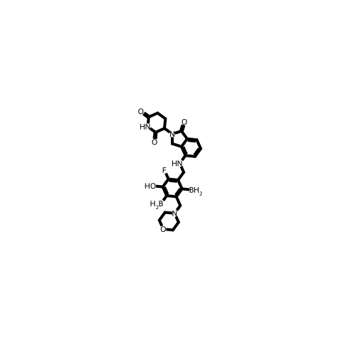 Bc1c(O)c(F)c(CNc2cccc3c2CN(C2CCC(=O)NC2=O)C3=O)c(B)c1CN1CCOCC1